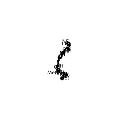 CC[C@@H]1C(=O)N(C)c2cnc(Nc3ccc(C(=O)NCCCCOC4CCN(c5ncc(C(=O)N[C@H]6C(C)(C)[C@H](Oc7ccc(C#N)c(Cl)c7)C6(C)C)cn5)CC4)cc3OC)nc2N1C1CCCC1